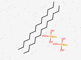 CCCCCCCCCCCCC.CCCCCCCCCCCCC.OP(O)(O)=S.OP(O)(O)=S